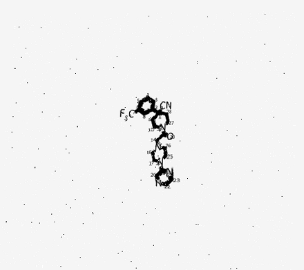 N#CC1(c2cccc(C(F)(F)F)c2)CCN(C(=O)CN2CCN(c3cnccn3)CC2)CC1